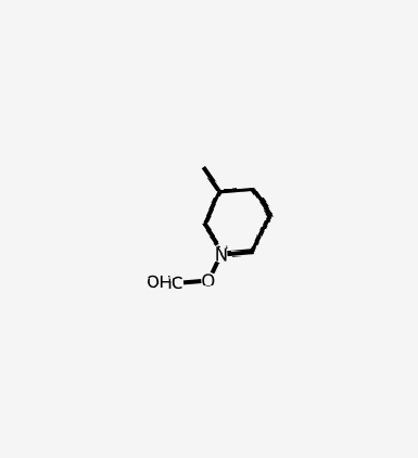 CC1CCCN(OC=O)C1